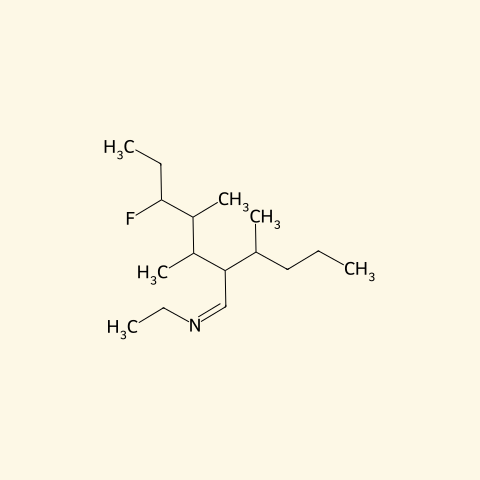 CCCC(C)C(/C=N\CC)C(C)C(C)C(F)CC